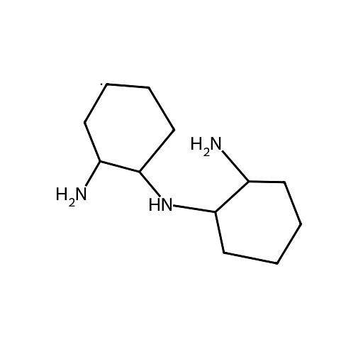 NC1C[CH]CCC1NC1CCCCC1N